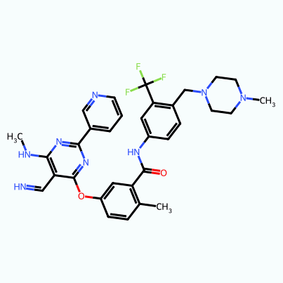 CNc1nc(-c2cccnc2)nc(Oc2ccc(C)c(C(=O)Nc3ccc(CN4CCN(C)CC4)c(C(F)(F)F)c3)c2)c1C=N